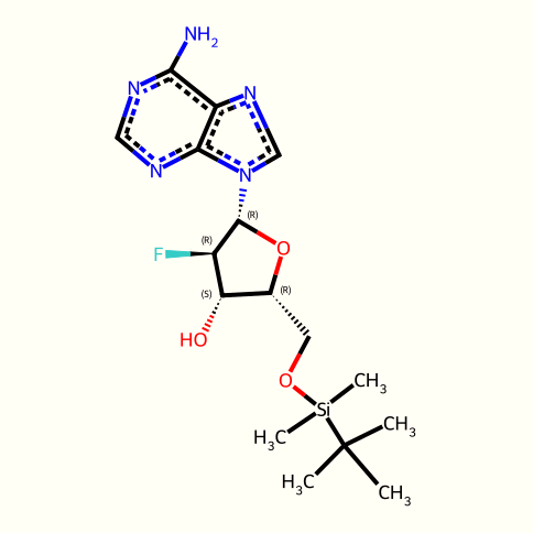 CC(C)(C)[Si](C)(C)OC[C@H]1O[C@@H](n2cnc3c(N)ncnc32)[C@H](F)[C@H]1O